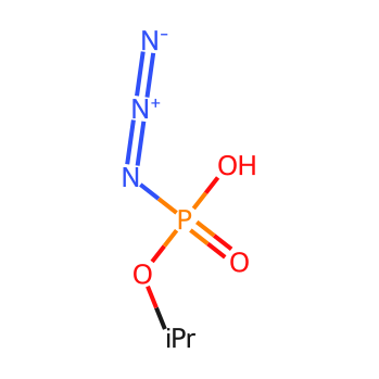 CC(C)OP(=O)(O)N=[N+]=[N-]